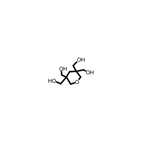 OCC1(CO)COCC(CO)(CO)C1